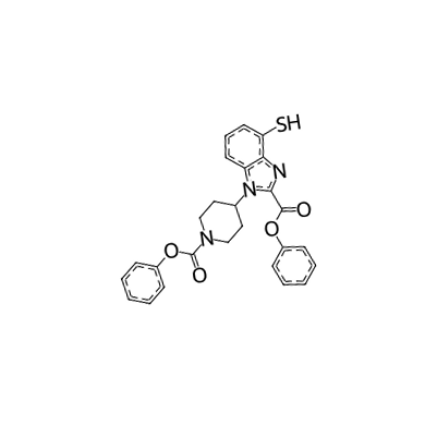 O=C(Oc1ccccc1)c1nc2c(S)cccc2n1C1CCN(C(=O)Oc2ccccc2)CC1